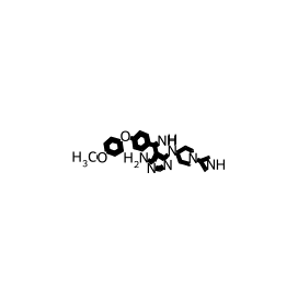 COc1ccc(Oc2ccc(C(=N)c3c(N)ncnc3NC3CCN(C4CNC4)CC3)cc2)cc1